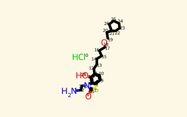 Cl.NCCn1c(=O)sc2ccc(CCCCCCOCCC3CCCCC3)c(O)c21